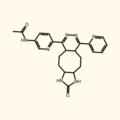 CC(=O)Nc1ccc(C2=NN=C(c3ccccn3)C3CCC4NC(=O)NC4CCC23)nc1